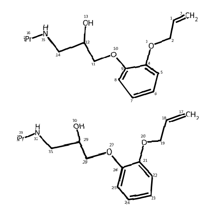 C=CCOc1ccccc1OCC(O)CNC(C)C.C=CCOc1ccccc1OCC(O)CNC(C)C